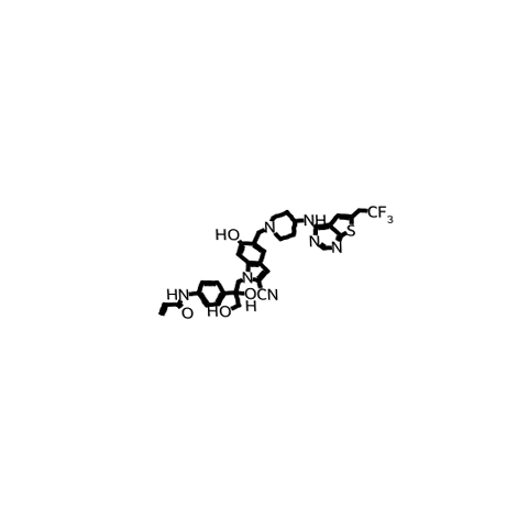 C=CC(=O)Nc1ccc(C(O)(CO)Cn2c(C#N)cc3cc(CN4CCC(Nc5ncnc6sc(CC(F)(F)F)cc56)CC4)c(O)cc32)cc1